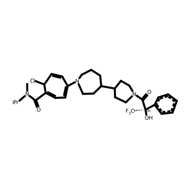 CC(C)N(C)C(=O)C1=CC=C(N2CCCC(C3CCN(C(=O)[C@](O)(c4ccccc4)C(F)(F)F)CC3)CC2)C=CC1Cl